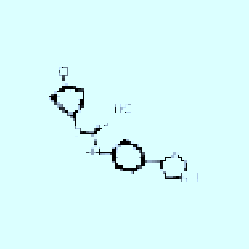 Cl.O=C(Nc1ccc(C2CCNC2)cc1)Oc1ccc(Cl)cc1